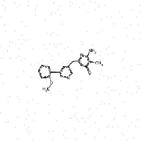 COc1ccccc1-c1cncc(Cc2cc(=O)n(C)c(N)n2)c1